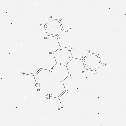 FC(Cl)=CCCCC(OC(CCCC=C(F)Cl)c1ccccc1)c1ccccc1